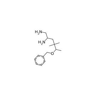 CC(OCc1ccccc1)C(C)(C)CC(N)CN